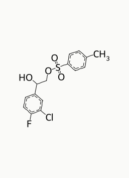 Cc1ccc(S(=O)(=O)OCC(O)c2ccc(F)c(Cl)c2)cc1